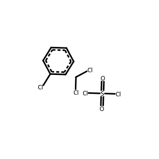 ClCCl.Clc1ccccc1.O=S(=O)(Cl)Cl